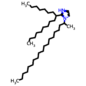 CCCCCCCCCCCCCCCCCC(C)[n+]1cc[nH]c1C(CCCCCCC)CCCCCCCCC